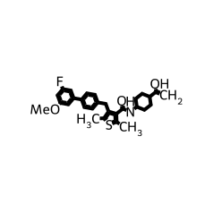 C=C(O)C1CCC(NC(=O)c2c(C)sc(C)c2Cc2ccc(-c3cc(F)cc(OC)c3)cc2)CC1